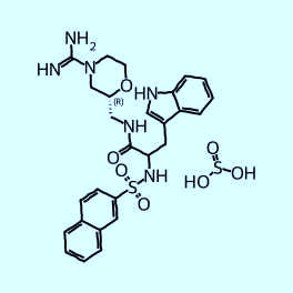 N=C(N)N1CCO[C@H](CNC(=O)C(Cc2c[nH]c3ccccc23)NS(=O)(=O)c2ccc3ccccc3c2)C1.O=S(O)O